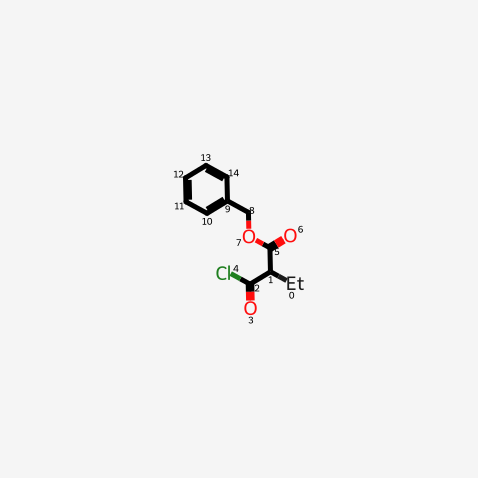 CCC(C(=O)Cl)C(=O)OCc1ccccc1